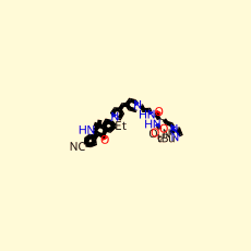 CCc1cc2c(cc1N1CCC(CC3CCN(CCCNC(=O)[C@H](CCCn4ccnc4[N+](=O)[O-])NC(=O)OC(C)(C)C)CC3)CC1)C(C)(C)c1[nH]c3cc(C#N)ccc3c1C2=O